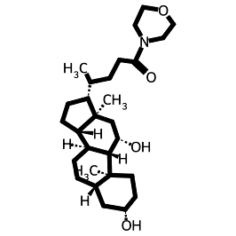 CC(CCC(=O)N1CCOCC1)[C@H]1CC[C@H]2[C@@H]3CC[C@H]4C[C@@H](O)CC[C@]4(C)[C@H]3[C@@H](O)C[C@]12C